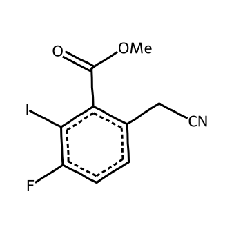 COC(=O)c1c(CC#N)ccc(F)c1I